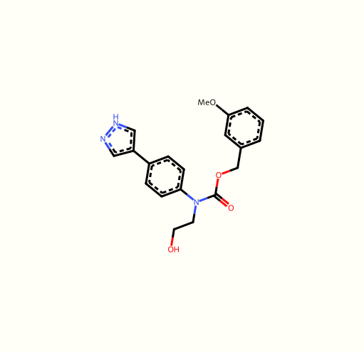 COc1cccc(COC(=O)N(CCO)c2ccc(-c3cn[nH]c3)cc2)c1